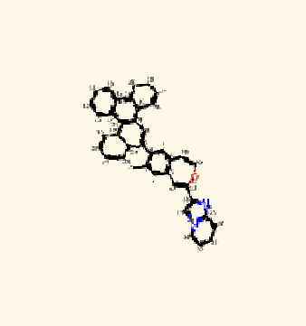 Cc1cc2c(cc1C1=Cc3c4c(c5ccccc5c3C3C=CC=CC13)CCC=C4)C=COC(c1cn3ccccc3n1)=C2